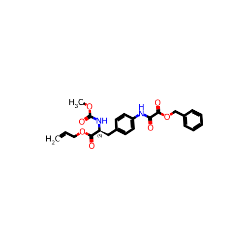 C=CCOC(=O)[C@H](Cc1ccc(NC(=O)C(=O)OCc2ccccc2)cc1)NC(=O)OC